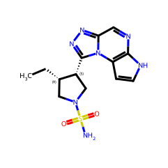 CC[C@H]1CN(S(N)(=O)=O)C[C@H]1c1nnc2cnc3[nH]ccc3n12